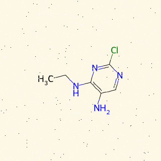 CCNc1nc(Cl)ncc1N